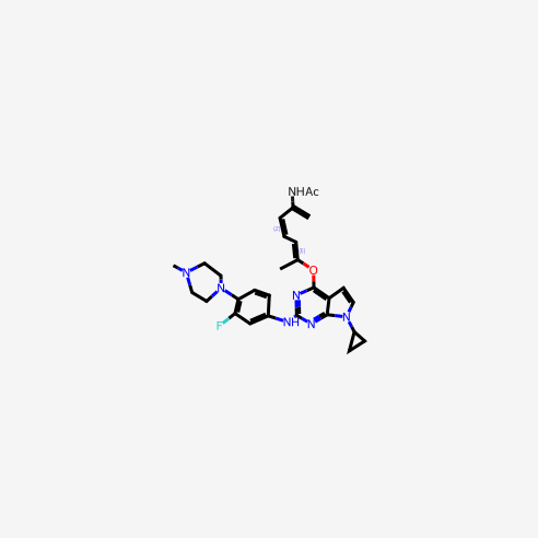 C=C(/C=C\C=C(/C)Oc1nc(Nc2ccc(N3CCN(C)CC3)c(F)c2)nc2c1ccn2C1CC1)NC(C)=O